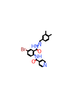 Cc1ccc(/C=N/NC(=O)c2cc(Br)ccc2NC(=O)c2ccncc2)cc1C